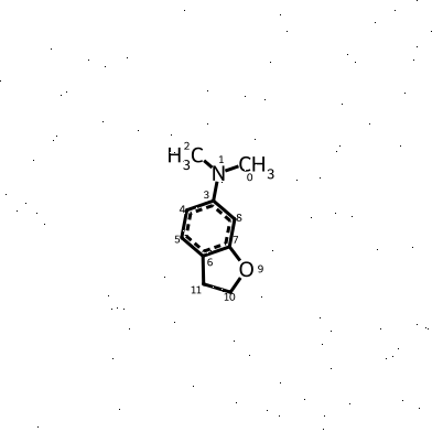 CN(C)c1ccc2c(c1)OCC2